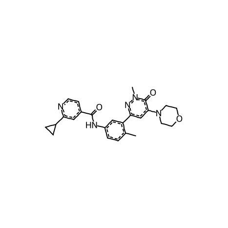 Cc1ccc(NC(=O)c2ccnc(C3CC3)c2)cc1-c1cc(N2CCOCC2)c(=O)n(C)n1